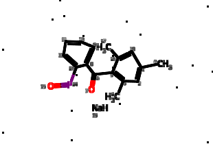 Cc1cc(C)c(C(=O)c2ccccc2P=O)c(C)c1.[NaH]